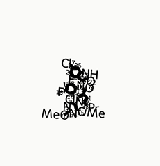 COc1ncc(-n2cc(C(=O)N(c3cc(Cl)c(F)cc3F)C3C(=O)Nc4cc(Cl)ccc43)cc2C(C)C)c(OC)n1